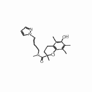 Cc1c(C)c2c(c(C)c1O)CCC(C)(C(=O)N(C)CCCn1cccn1)O2